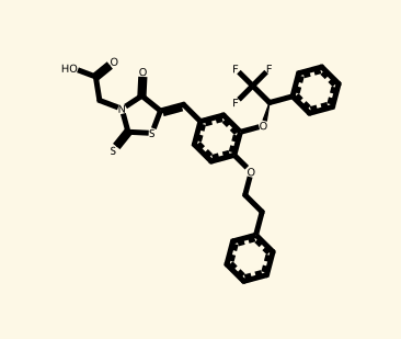 O=C(O)CN1C(=O)/C(=C/c2ccc(OCCc3ccccc3)c(O[C@H](c3ccccc3)C(F)(F)F)c2)SC1=S